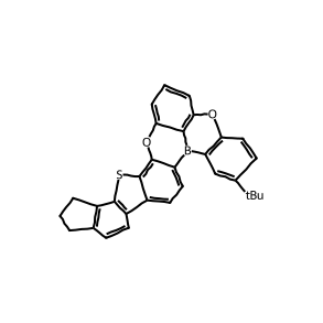 CC(C)(C)c1ccc2c(c1)B1c3ccc4c(sc5c6c(ccc54)CCC6)c3Oc3cccc(c31)O2